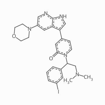 CN(C)CC(c1cccc(I)c1)n1ccc(-c2c[nH]c3ncc(N4CCOCC4)cc23)cc1=O